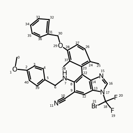 COc1ccc(CNc2c(C#N)cc3c(ncn3C(F)(F)Br)c2-c2c(C)ccc(OCc3ccccc3)c2C)cc1